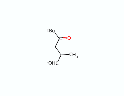 CC([C]=O)CC(=O)C(C)(C)C